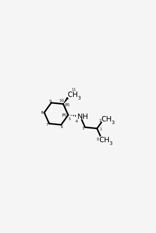 CC(C)CN[C@@H]1CCCC[C@H]1C